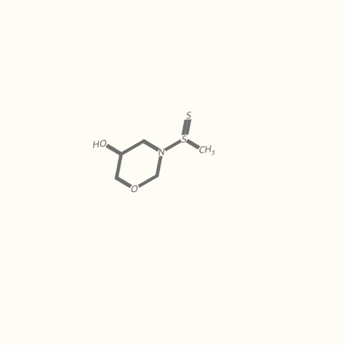 CS(=S)N1COCC(O)C1